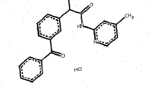 Cc1ccnc(NC(=O)C(C)c2cccc(C(=O)c3ccccc3)c2)c1.Cl